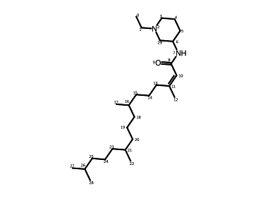 CCN1CCCC(NC(=O)C=C(C)CCCC(C)CCCC(C)CCCC(C)C)C1